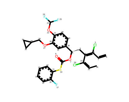 C=C/C(Cl)=C(C[C@H](OC(=O)Sc1ccccc1F)c1ccc(OC(F)F)c(OCC2CC2)c1)\C(Cl)=C/C